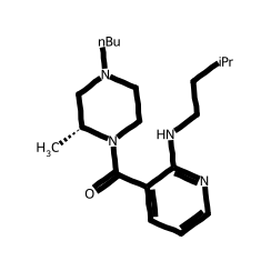 CCCCN1CCN(C(=O)c2cccnc2NCCC(C)C)[C@H](C)C1